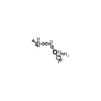 NC(=O)[C@@H]1CC(F)(F)CCN1c1ccc(C2CN(C(=O)N3CC4(CC(c5nnc(C6CC6)[nH]5)C4)C3)C2)cc1